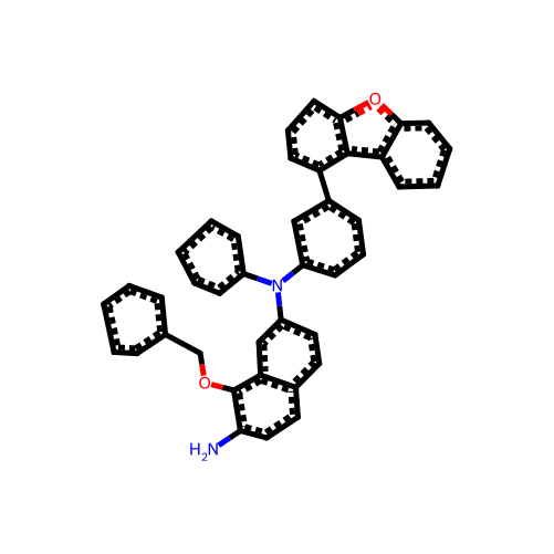 Nc1ccc2ccc(N(c3ccccc3)c3cccc(-c4cccc5oc6ccccc6c45)c3)cc2c1OCc1ccccc1